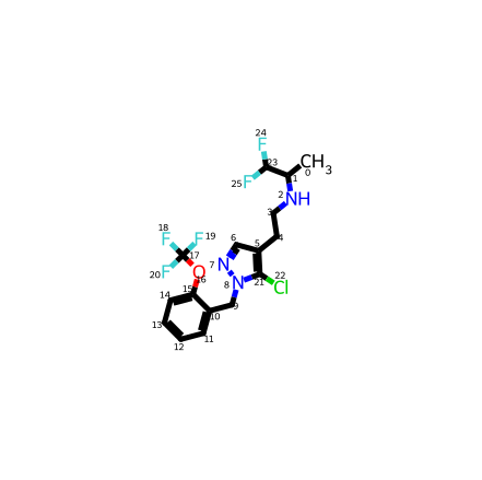 CC(NCCc1cnn(Cc2ccccc2OC(F)(F)F)c1Cl)C(F)F